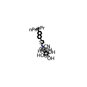 CCCN(CCC)c1ccc2cc(-c3ccc(/C=C(\C#N)S(=O)(=O)N[C@H]4C(O)O[C@H](CO)[C@@H](O)[C@@H]4O)s3)ccc2c1